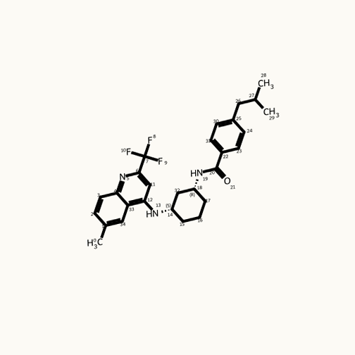 Cc1ccc2nc(C(F)(F)F)cc(N[C@H]3CCC[C@@H](NC(=O)c4ccc(CC(C)C)cc4)C3)c2c1